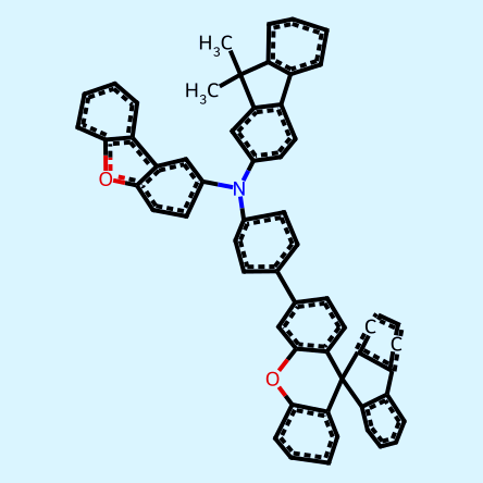 CC1(C)c2ccccc2-c2ccc(N(c3ccc(-c4ccc5c(c4)Oc4ccccc4C54c5ccccc5-c5ccccc54)cc3)c3ccc4oc5ccccc5c4c3)cc21